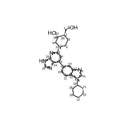 OC[C@H]1CCN(c2cc(-c3ccc4c(c3)ncn4C3CCCCC3)c3nc[nH]c3n2)C[C@@H]1O